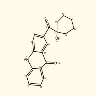 O=C(c1ccc2[nH]c3ccccc3c(=O)c2c1)C1(O)CCCCC1